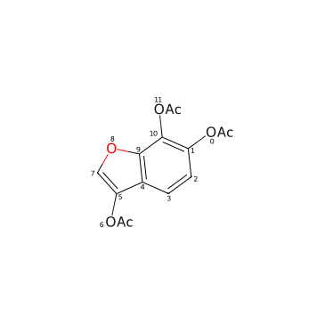 CC(=O)Oc1ccc2c(OC(C)=O)coc2c1OC(C)=O